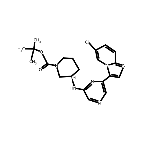 CC(C)(C)OC(=O)N1CCC[C@@H](Nc2cncc(-c3cnc4ccc(Cl)cn34)n2)C1